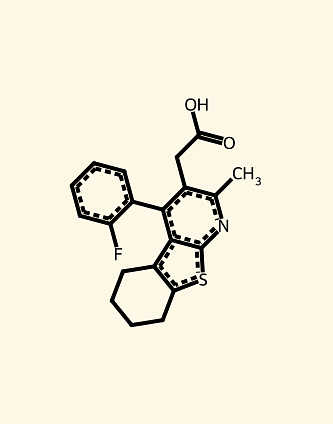 Cc1nc2sc3c(c2c(-c2ccccc2F)c1CC(=O)O)CCCC3